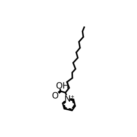 CCCCCCCCCCCCCC(C(=O)O)[n+]1ccccc1